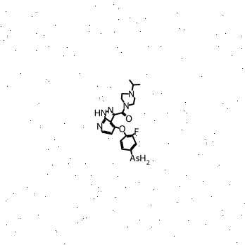 CC(C)N1CCN(C(=O)c2n[nH]c3nccc(Oc4ccc([AsH2])cc4F)c23)CC1